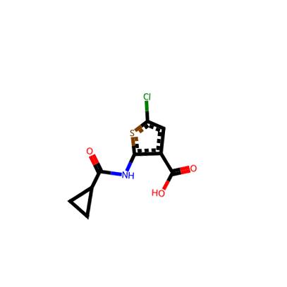 O=C(O)c1cc(Cl)sc1NC(=O)C1CC1